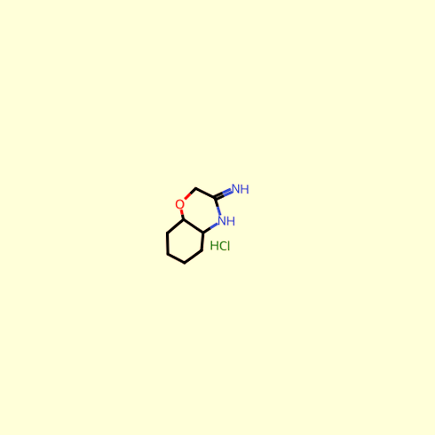 Cl.N=C1COC2CCCCC2N1